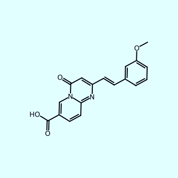 COc1cccc(C=Cc2cc(=O)n3cc(C(=O)O)ccc3n2)c1